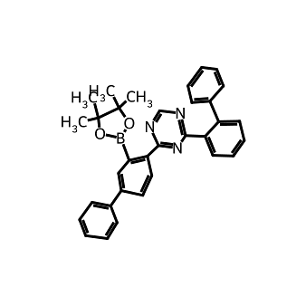 CC1(C)OB(c2cc(-c3ccccc3)ccc2-c2ncnc(-c3ccccc3-c3ccccc3)n2)OC1(C)C